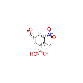 Cc1c(C(=O)O)cc(C=O)cc1[N+](=O)[O-]